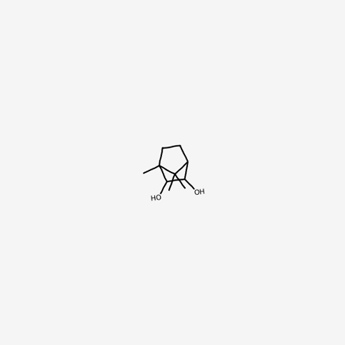 CC1(C)C2CCC1(C)C(O)C2O